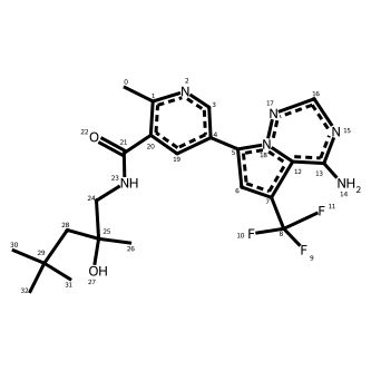 Cc1ncc(-c2cc(C(F)(F)F)c3c(N)ncnn23)cc1C(=O)NCC(C)(O)CC(C)(C)C